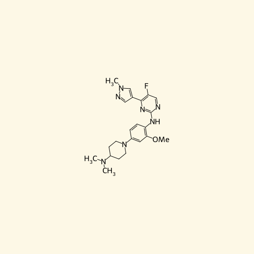 COc1cc(N2CCC(N(C)C)CC2)ccc1Nc1ncc(F)c(-c2cnn(C)c2)n1